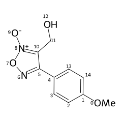 COc1ccc(-c2no[n+]([O-])c2CO)cc1